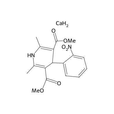 COC(=O)C1=C(C)NC(C)=C(C(=O)OC)C1c1ccccc1[N+](=O)[O-].[CaH2]